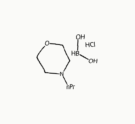 CCCN1CCOCC1.Cl.OBO